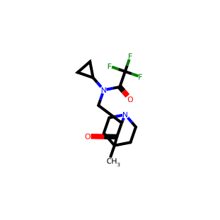 CC12CCN(CC1)C(CN(C(=O)C(F)(F)F)C1CC1)C2=O